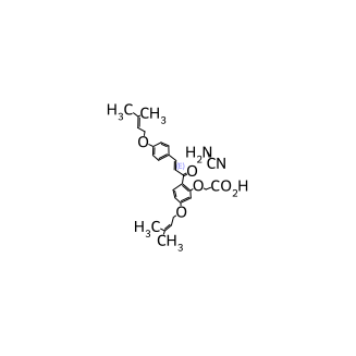 CC(C)=CCOc1ccc(/C=C/C(=O)c2ccc(OCC=C(C)C)cc2OCC(=O)O)cc1.N#CN